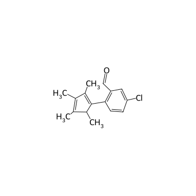 CC1=C(C)C(C)C(c2ccc(Cl)cc2C=O)=C1C